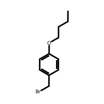 CCCCOc1ccc(CBr)cc1